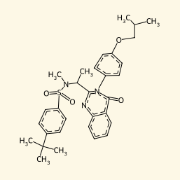 CC(C)COc1ccc(-n2c(C(C)N(C)S(=O)(=O)c3ccc(C(C)(C)C)cc3)nc3ccccc3c2=O)cc1